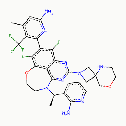 Cc1cc(N)nc(-c2c(Cl)c3c4c(nc(N5CC6(COCCN6)C5)nc4c2F)N([C@H](C)c2cccnc2N)CCO3)c1C(F)(F)F